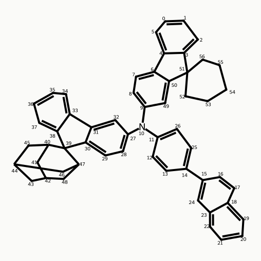 c1ccc2c(c1)-c1ccc(N(c3ccc(-c4ccc5ccccc5c4)cc3)c3ccc4c(c3)-c3ccccc3C43C4CC5CC(C4)CC3C5)cc1C21CCCCC1